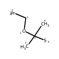 CC(C)COC(C)(C)[S]